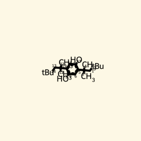 CC(C)(C)CC(C)(C)c1cc(O)c(C(C)(C)CC(C)(C)C)cc1O